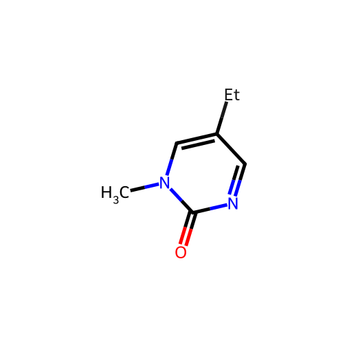 CCc1cnc(=O)n(C)c1